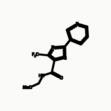 COCNC(=O)c1sc(-c2cccnc2)nc1C(F)(F)F